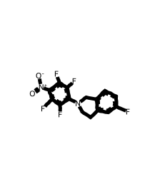 O=[N+]([O-])c1c(F)c(F)c(N2CCc3cc(F)ccc3C2)c(F)c1F